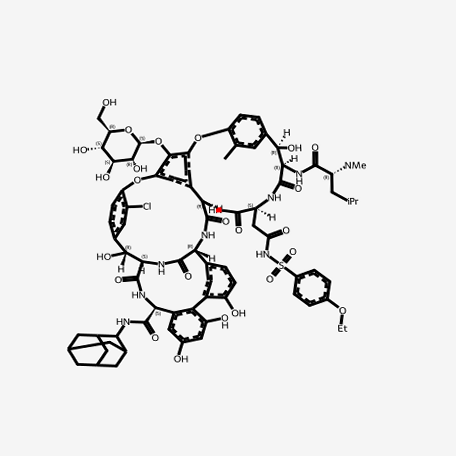 CCOc1ccc(S(=O)(=O)NC(=O)C[C@@H]2NC(=O)[C@H](NC(=O)[C@@H](CC(C)C)NC)[C@H](O)c3ccc(c(C)c3)Oc3cc4cc(c3O[C@@H]3O[C@H](CO)[C@@H](O)[C@H](O)[C@H]3O)Oc3ccc(cc3Cl)[C@@H](O)[C@@H]3NC(=O)[C@H](NC(=O)[C@@H]4NC2=O)c2ccc(O)c(c2)-c2c(O)cc(O)cc2[C@@H](C(=O)NC2C4CC5CC(C4)CC2C5)NC3=O)cc1